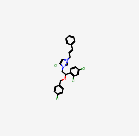 Clc1ccc(COC(C[n+]2ccn(C/C=C/c3ccccc3)c2)c2ccc(Cl)cc2Cl)cc1.[Cl-]